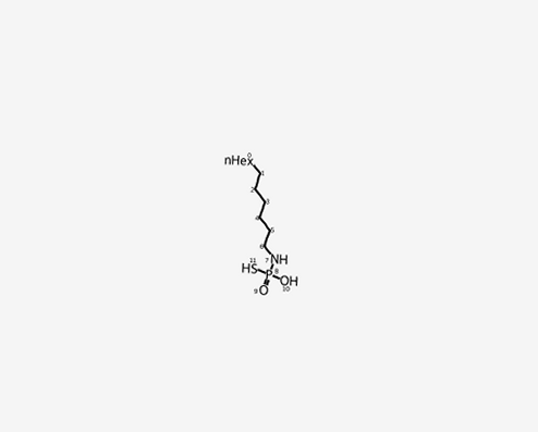 CCCCCCCCCCCCNP(=O)(O)S